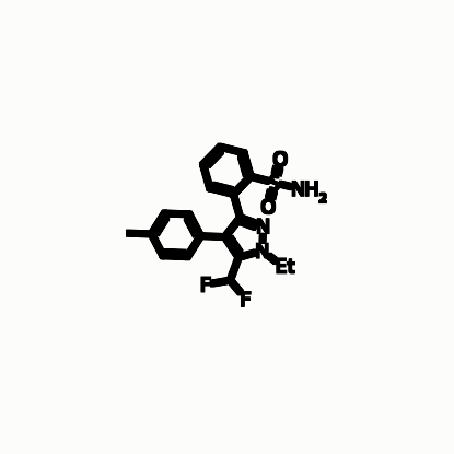 CCn1nc(-c2ccccc2S(N)(=O)=O)c(-c2ccc(C)cc2)c1C(F)F